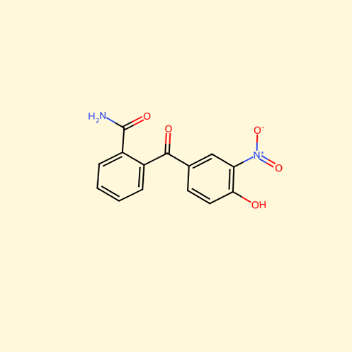 NC(=O)c1ccccc1C(=O)c1ccc(O)c([N+](=O)[O-])c1